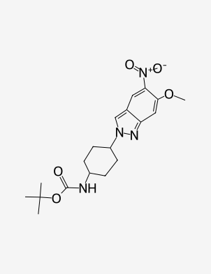 COc1cc2nn(C3CCC(NC(=O)OC(C)(C)C)CC3)cc2cc1[N+](=O)[O-]